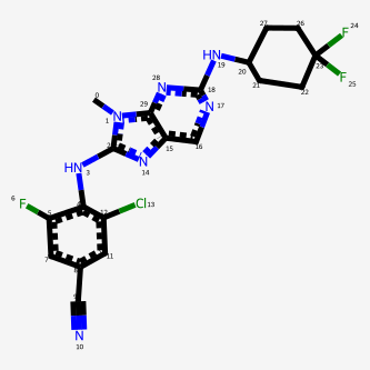 Cn1c(Nc2c(F)cc(C#N)cc2Cl)nc2cnc(NC3CCC(F)(F)CC3)nc21